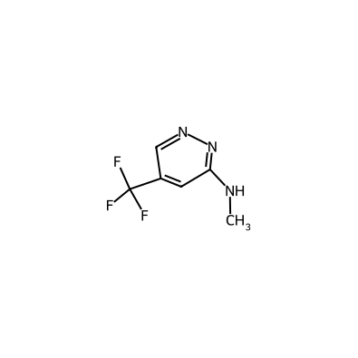 CNc1cc(C(F)(F)F)cnn1